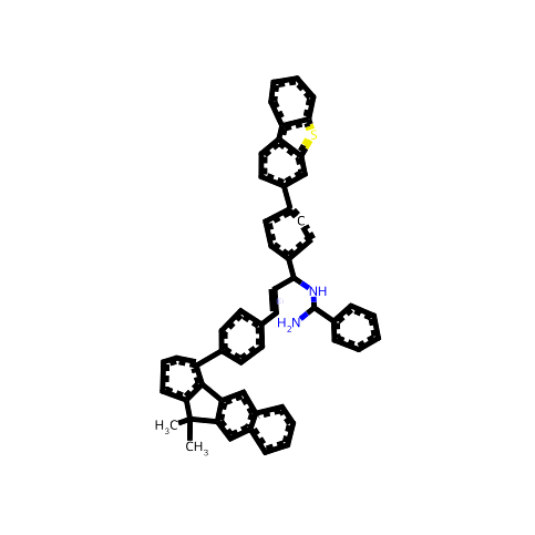 CC1(C)c2cc3ccccc3cc2-c2c(-c3ccc(/C=C/C(NC(N)c4ccccc4)c4ccc(-c5ccc6c(c5)sc5ccccc56)cc4)cc3)cccc21